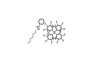 CCCCCCC.C[NH+](C)c1ccccc1.Fc1c(F)c(F)c([B-](c2c(F)c(F)c(F)c(F)c2F)(c2c(F)c(F)c(F)c(F)c2F)c2c(F)c(F)c(F)c(F)c2F)c(F)c1F